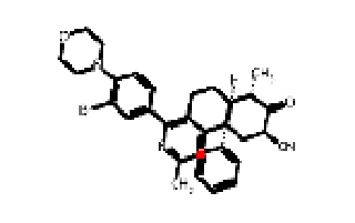 Cc1nc(-c2ccc(N3CCOCC3)c(Br)c2)c2c(n1)[C@]1(c3ccccc3)CC(C#N)C(=O)[C@@H](C)[C@@H]1CC2